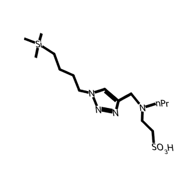 CCCN(CCS(=O)(=O)O)Cc1cn(CCCC[Si](C)(C)C)nn1